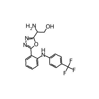 NC(CO)c1nnc(-c2ccccc2Nc2ccc(C(F)(F)F)cc2)o1